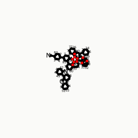 N#Cc1ccc(-c2ccc(-n3c4ccccc4c4c3ccc3c5ccccc5n(-c5ccccc5)c34)c(-c3cc(-n4c5ccccc5c5c6oc7ccccc7c6ccc54)ccc3-c3nc(-c4ccccc4)nc(-c4ccccc4)n3)c2)cc1